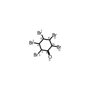 O=C1C(Br)C(Br)C(Br)C(Br)C1Br